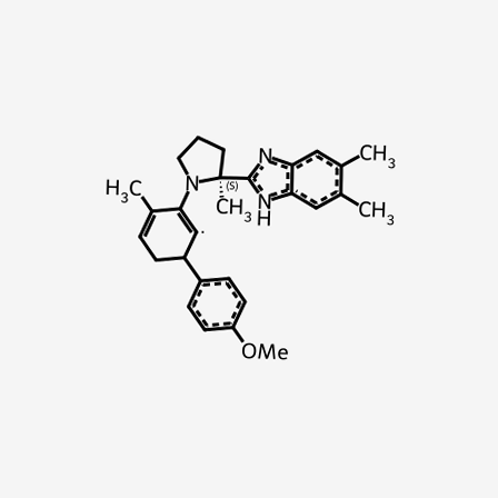 COc1ccc(C2[C]=C(N3CCC[C@@]3(C)c3nc4cc(C)c(C)cc4[nH]3)C(C)=CC2)cc1